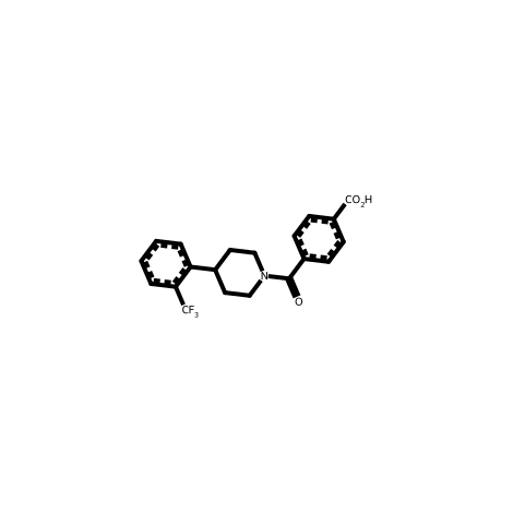 O=C(O)c1ccc(C(=O)N2CCC(c3ccccc3C(F)(F)F)CC2)cc1